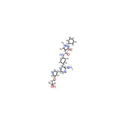 Cc1c(C(=O)Nc2ccc(-c3nc(-c4cncc(OCC(C)(C)O)c4)cnc3N)cc2)c(=O)n(-c2ccccc2)n1C